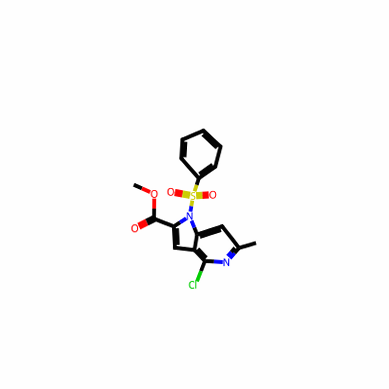 COC(=O)c1cc2c(Cl)nc(C)cc2n1S(=O)(=O)c1ccccc1